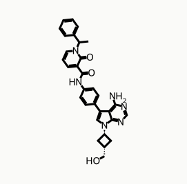 CC(c1ccccc1)n1cccc(C(=O)Nc2ccc(-c3cn([C@H]4C[C@@H](CO)C4)c4ncnc(N)c34)cc2)c1=O